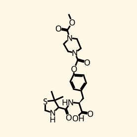 COC(=O)N1CCN(C(=O)Oc2ccc(C[C@H](NC(=O)C3NCSC3(C)C)C(=O)O)cc2)CC1